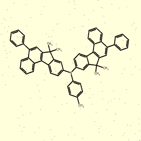 Cc1ccc(N(c2ccc3c(c2)C(C)(C)c2cc(-c4ccccc4)c4ccccc4c2-3)c2ccc3c(c2)C(C)(C)c2cc(-c4ccccc4)c4ccccc4c2-3)cc1